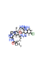 C[C@@H]1CCC[C@H](n2cnc(-c3cc(Cl)ccc3N3C=C(C(F)(F)F)NN3)cc2=O)c2ccnc(c2)-c2c(cnn2C)NC1=O